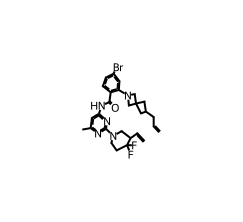 C=CCC1CC2(C1)CN(c1cc(Br)ccc1C(=O)Nc1cc(C)nc(N3CCC(F)(F)C(C=C)C3)n1)C2